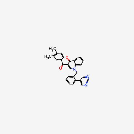 Cc1ccc(C(=O)c2cn(Cc3ccccc3-c3cncnc3)c3ccccc3c2=O)cc1C